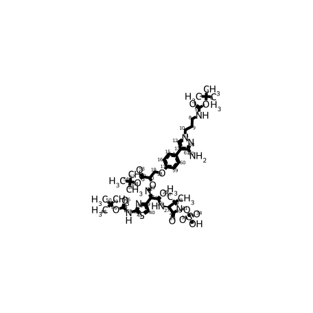 CC(C)(C)OC(=O)NCCCn1cc(-c2ccc(OCC(O/N=C(\C(=O)N[C@@H]3C(=O)N(OS(=O)(=O)O)C3(C)C)c3csc(NC(=O)OC(C)(C)C)n3)C(=O)OC(C)(C)C)cc2)c(N)n1